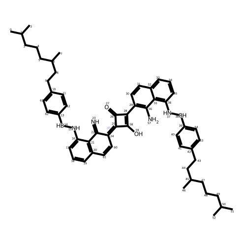 CC(C)CCCC(C)CCc1ccc(BNc2cccc3c2C(=N)/C(=C2\C(=O)C(c4ccc5cccc(NBc6ccc(CCC(C)CCCC(C)C)cc6)c5c4N)=C2O)C=C3)cc1